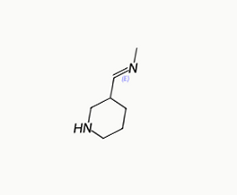 C/N=C/C1CCCNC1